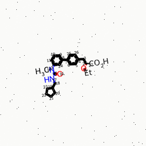 CCO[C@@H](Cc1ccc(-c2cccc(N(C)C(=O)NCC3CCCC3)c2)cc1)C(=O)O